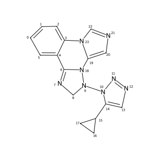 c1ccc2c(c1)C1=NCN(n3nncc3C3CC3)N1c1cncn1-2